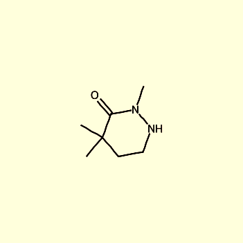 CN1NCCC(C)(C)C1=O